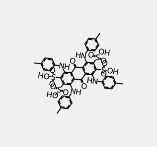 Cc1ccc(Nc2c3c(c(Nc4ccc(C)cc4)c(S(=O)(=O)O)c2S(=O)(=O)O)C(=O)c2c(Nc4ccc(C)cc4)c(S(=O)(=O)O)c(S(=O)(=O)O)c(Nc4ccc(C)cc4)c2C3=O)cc1